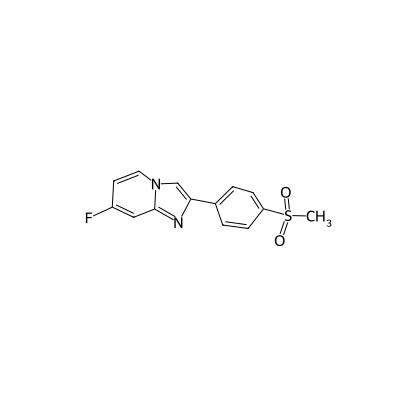 CS(=O)(=O)c1ccc(-c2cn3ccc(F)cc3n2)cc1